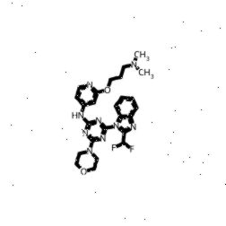 CN(C)CCCOc1cc(Nc2nc(N3CCOCC3)nc(-n3c(C(F)F)nc4ccccc43)n2)ccn1